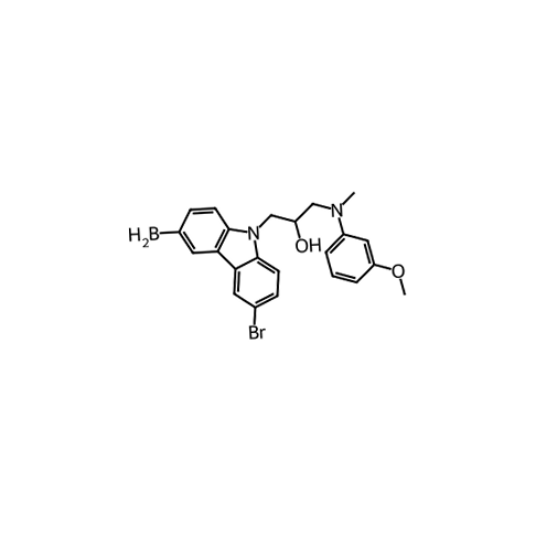 Bc1ccc2c(c1)c1cc(Br)ccc1n2CC(O)CN(C)c1cccc(OC)c1